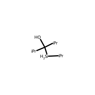 CC(C)[SiH2]C(O)(C(C)C)C(C)C